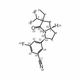 CCC1(C(F)F)C[C@@H]2CC[C@@H](c3cc(F)cc(C#N)c3)N2C1=O